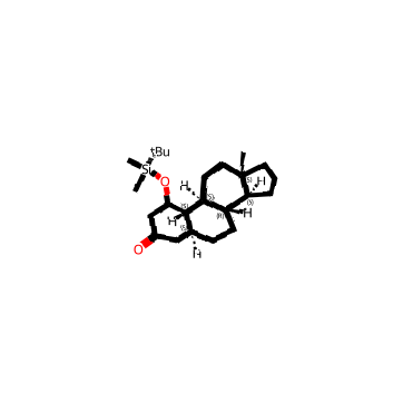 CC(C)(C)[Si](C)(C)OC1CC(=O)C[C@@H]2CC[C@@H]3[C@H](CC[C@]4(C)CCC[C@@H]34)[C@@H]12